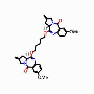 C=C1C[C@H]2C(OCCCCCOC3=Nc4ccc(OC)cc4C(=O)N4CC(=C)C[C@@H]34)=Nc3ccc(OC)cc3C(=O)N2C1